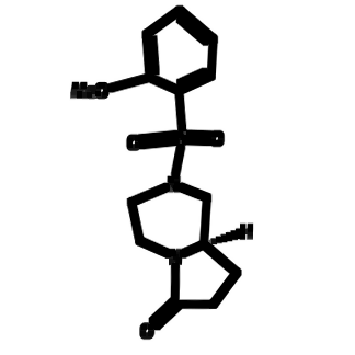 COc1ccccc1S(=O)(=O)N1CCN2C(=O)CC[C@@H]2C1